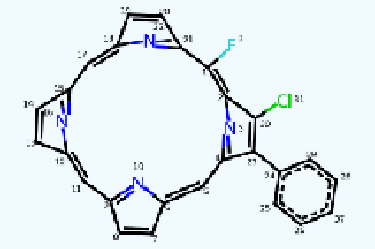 FC1=C2N=C(C=C3C=CC(=N3)C=C3C=CC(=N3)C=C3C=CC1=N3)C(c1ccccc1)=C2Cl